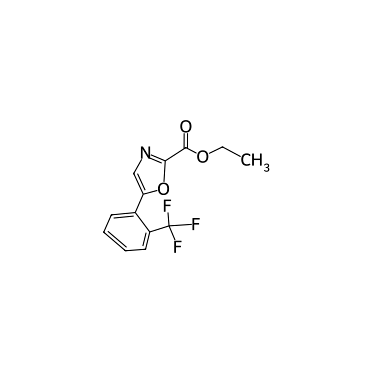 CCOC(=O)c1ncc(-c2ccccc2C(F)(F)F)o1